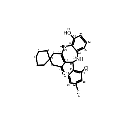 O=C1CC2(CCCCC2)CC2=C1C(c1ccc(Cl)cc1Cl)Nc1cccc(O)c1N2